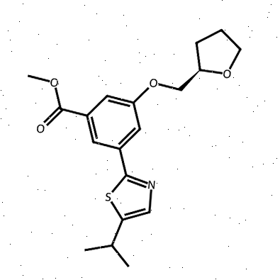 COC(=O)c1cc(OC[C@H]2CCCO2)cc(-c2ncc(C(C)C)s2)c1